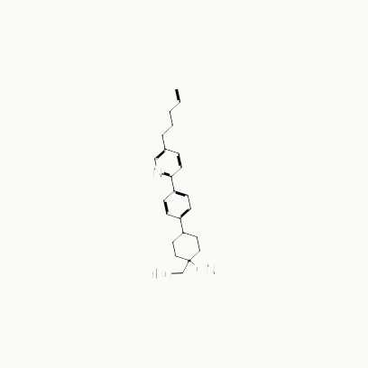 C=CCCCc1ccc(-c2ccc(C3CCC(C#N)(CC(C)CC)CC3)cc2)nc1